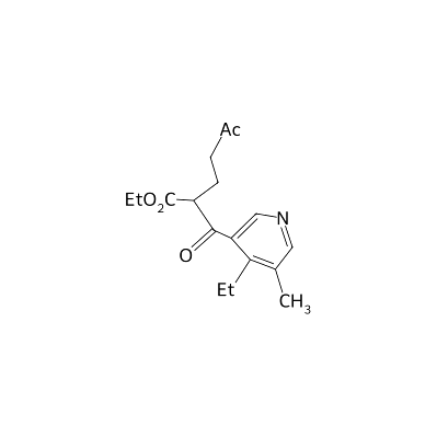 CCOC(=O)C(CCC(C)=O)C(=O)c1cncc(C)c1CC